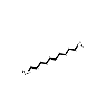 [CH2]/C=C/CC/C=C/CCCCC